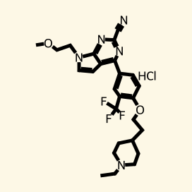 CCN1CCC(CCOc2ccc(-c3nc(C#N)nc4c3ccn4CCOC)cc2C(F)(F)F)CC1.Cl